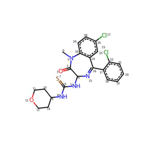 CN1C(=O)C(NC(=S)NC2CCOCC2)N=C(c2ccccc2Cl)c2cc(Cl)ccc21